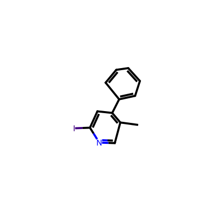 Cc1cnc(I)cc1-c1ccccc1